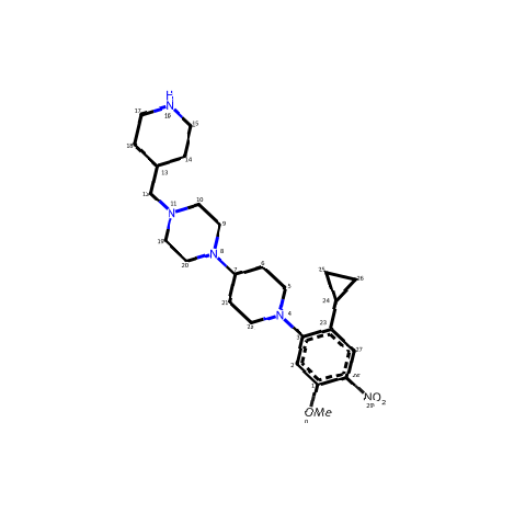 COc1cc(N2CCC(N3CCN(CC4CCNCC4)CC3)CC2)c(C2CC2)cc1[N+](=O)[O-]